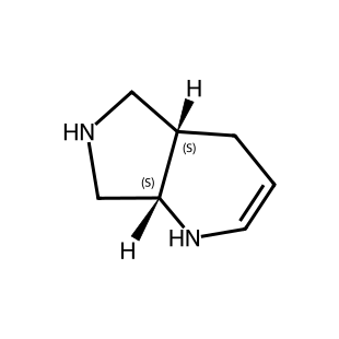 C1=CN[C@@H]2CNC[C@@H]2C1